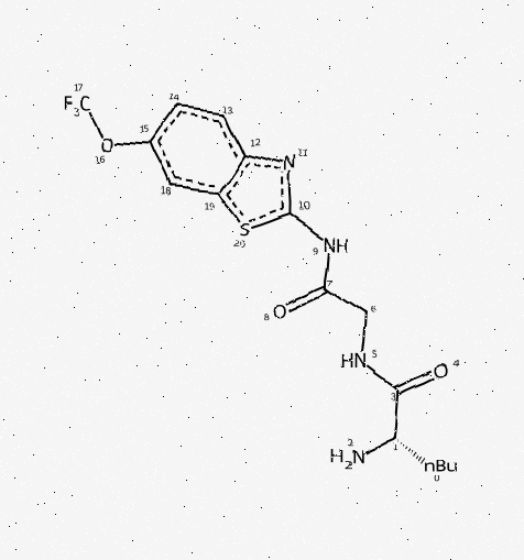 CCCC[C@H](N)C(=O)NCC(=O)Nc1nc2ccc(OC(F)(F)F)cc2s1